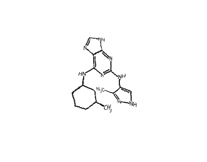 Cc1n[nH]cc1Nc1nc(NC2CCCC(C)C2)c2nc[nH]c2n1